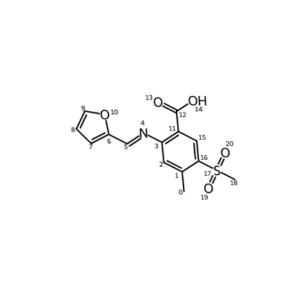 Cc1cc(/N=C/c2ccco2)c(C(=O)O)cc1S(C)(=O)=O